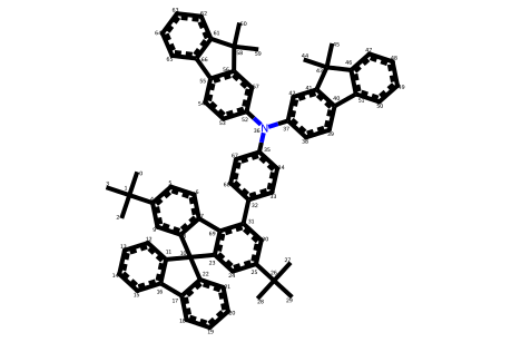 CC(C)(C)c1ccc2c(c1)C1(c3ccccc3-c3ccccc31)c1cc(C(C)(C)C)cc(-c3ccc(N(c4ccc5c(c4)C(C)(C)c4ccccc4-5)c4ccc5c(c4)C(C)(C)c4ccccc4-5)cc3)c1-2